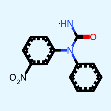 [NH]C(=O)N(c1ccccc1)c1cccc([N+](=O)[O-])c1